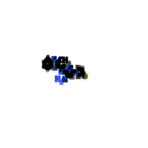 Cc1nc2ccccc2nc1-c1cn2nc(N3CC[C@@H](F)C3)cc(N)c2n1